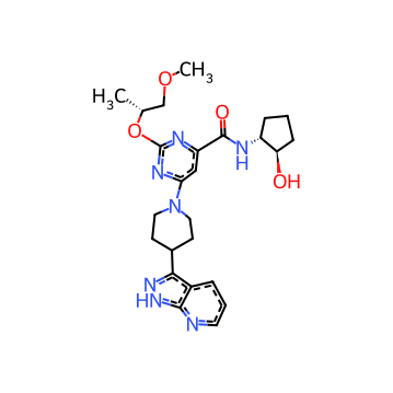 COC[C@@H](C)Oc1nc(C(=O)N[C@@H]2CCC[C@H]2O)cc(N2CCC(c3n[nH]c4ncccc34)CC2)n1